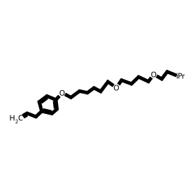 C=CCc1ccc(OCCCCCCOCCCCOCCC(C)C)cc1